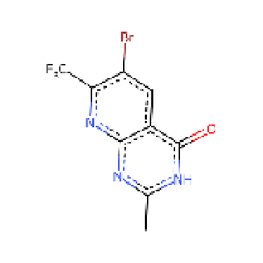 Cc1nc2nc(C(F)(F)F)c(Br)cc2c(=O)[nH]1